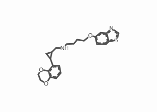 c1cc2c(c(C3CC3CNCCCCOc3ccc4scnc4c3)c1)OCCO2